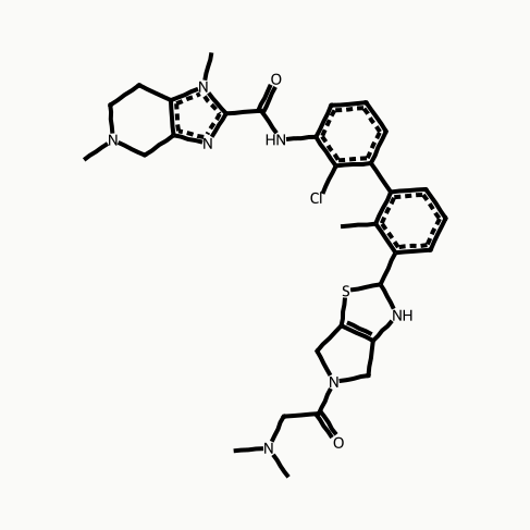 Cc1c(-c2cccc(NC(=O)c3nc4c(n3C)CCN(C)C4)c2Cl)cccc1C1NC2=C(CN(C(=O)CN(C)C)C2)S1